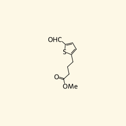 COC(=O)CCCc1ccc(C=O)s1